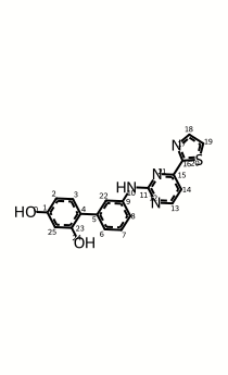 Oc1ccc(-c2cccc(Nc3nccc(-c4nccs4)n3)c2)c(O)c1